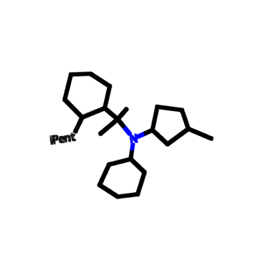 CCCC(C)C1CCCCC1C(C)(C)N(C1CCCCC1)C1CCC(C)C1